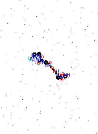 NC(=O)c1nn(-c2ccc(C(=O)NCCOCCOCCNc3cccc4c3C(=O)N(C3CCC(=O)NC3=O)C4=O)cc2)cc1NC(=O)c1cccc(-c2ccnc(NCC(F)(F)F)c2)n1